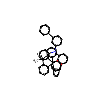 CC1(C)c2ccccc2C2(c3ccccc3-c3cccc(N(c4cccc(-c5ccccc5)c4)c4ccccc4-c4ccccc4)c32)c2ccccc21